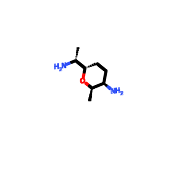 C[C@@H](N)[C@@H]1CC[C@@H](N)[C@@H](C)O1